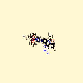 CC(=O)N1c2ccc(N3CCN(C(=O)OC(C)(C)C)C(C)C3)cc2C(N)C(C)C1C1CC1